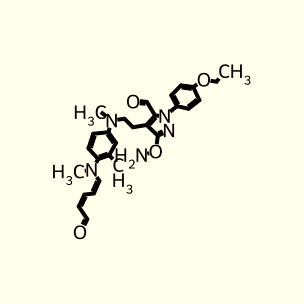 CCOc1ccc(-n2nc(ON)c(CCN(C)c3ccc(N(C)/C=C\C=C/C=O)c(C)c3)c2C=O)cc1